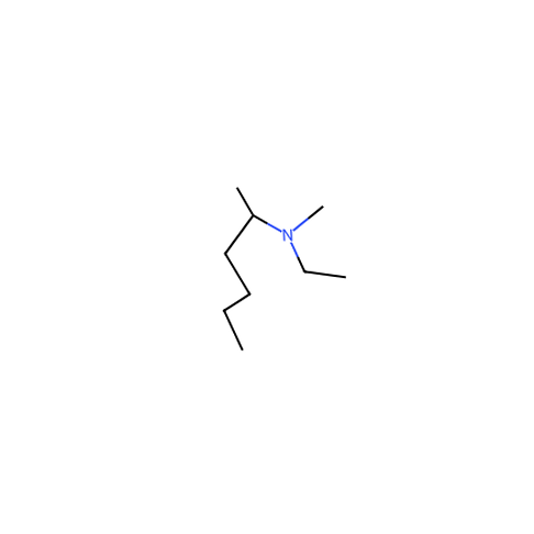 CCCCC(C)N(C)CC